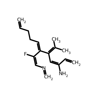 C=CCC/C=C(C(/C=C(/N)C=C)=C(C)C)\C(F)=C/N=C